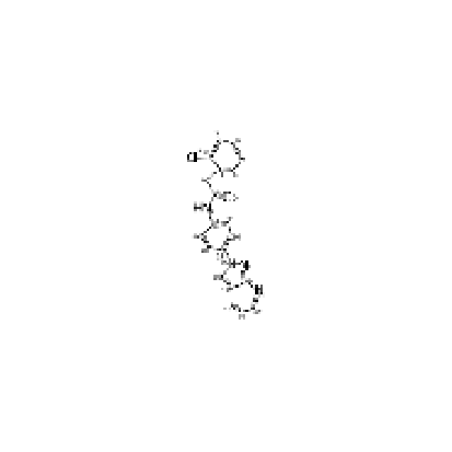 O=C(Cc1ccccc1Cl)Nc1ccc(-n2cc3cccnc3n2)cc1